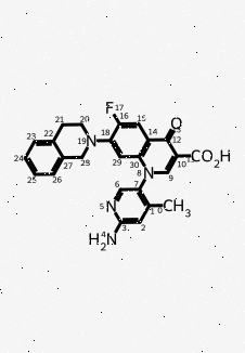 Cc1cc(N)ncc1-n1cc(C(=O)O)c(=O)c2cc(F)c(N3CCc4ccccc4C3)cc21